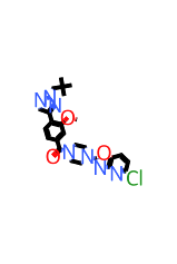 COc1cc(C(=O)N2CCN(c3nc4nc(Cl)ccc4o3)CC2)ccc1-c1cnn(CC(C)(C)C)n1